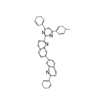 CC1C=CC(c2cc(C3=CCCC=C3)nc(-c3ccc4ccc(-c5ccc6ccc(C7=CCCC=C7)nc6c5)cc4n3)n2)=CC1